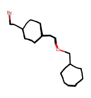 BrCC1CCC(COCC2CCCCC2)CC1